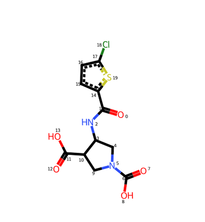 O=C(NC1CN(C(=O)O)CC1C(=O)O)c1ccc(Cl)s1